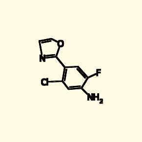 Nc1cc(Cl)c(-c2ncco2)cc1F